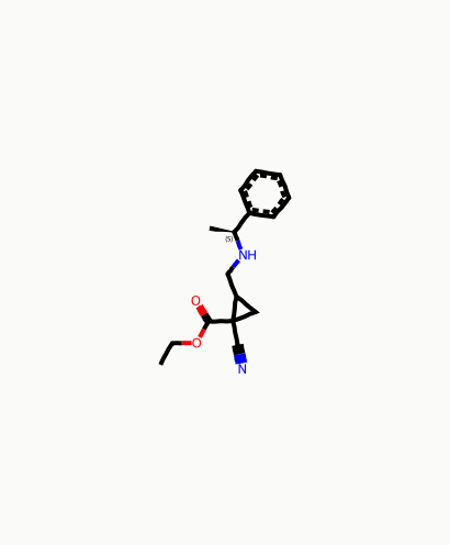 CCOC(=O)C1(C#N)CC1CN[C@@H](C)c1ccccc1